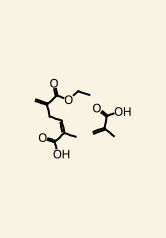 C=C(C)C(=O)O.C=C(CC=C(C)C(=O)O)C(=O)OCC